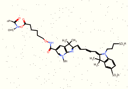 CCCC(=O)N(C=O)OC(=O)CCCCCONC(=O)c1cc2c([n+](CCC)c1)N=C(/C=C/C=C/C=C1/N(CCCS(=O)(=O)O)c3ccc(S(=O)(=O)O)cc3C1(C)C)C2(C)C